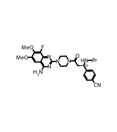 COc1cc2c(N)nc(N3CCN(C(=O)C[C@@H](NC(C)C)c4ccc(C#N)cc4)CC3)nc2c(F)c1OC